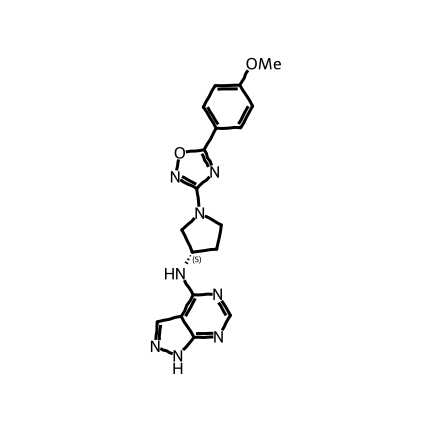 COc1ccc(-c2nc(N3CC[C@H](Nc4ncnc5[nH]ncc45)C3)no2)cc1